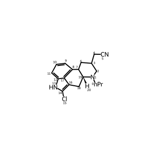 CCCN1CC(CC#N)CC2c3cccc4[nH]c(Cl)c(c34)C[C@H]21